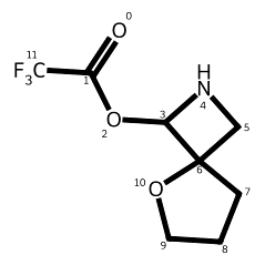 O=C(OC1NCC12CCCO2)C(F)(F)F